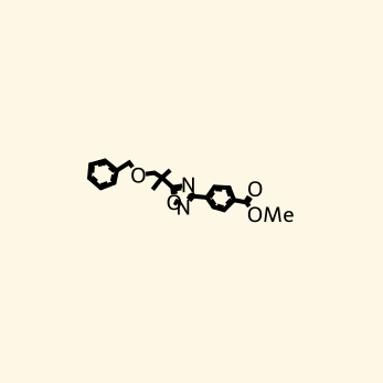 COC(=O)c1ccc(-c2noc(C(C)(C)COCc3ccccc3)n2)cc1